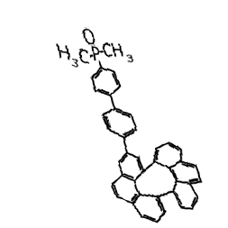 CP(C)(=O)c1ccc(-c2ccc(-c3cc4ccc5cccc6c7cccc8ccc9cccc(c(c3)c4c56)c9c87)cc2)cc1